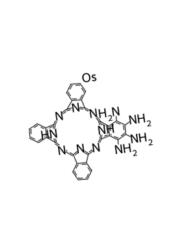 Nc1c(N)c(N)c2c3nc4nc(nc5[nH]c(nc6nc(nc([nH]3)c2c1N)-c1ccccc1-6)c1ccccc51)-c1ccccc1-4.[Os]